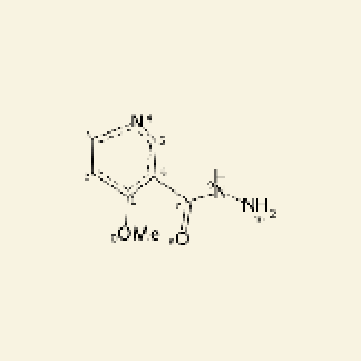 COc1ccncc1C(=O)NN